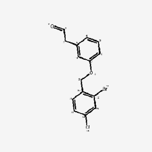 O=CCc1cccc(OCc2ccc(Cl)cc2Br)c1